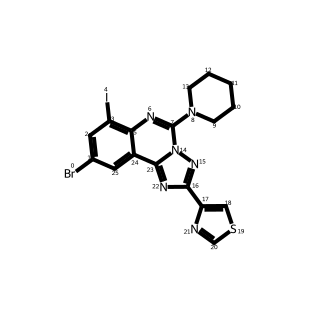 Brc1cc(I)c2nc(N3CCCCC3)n3nc(-c4cscn4)nc3c2c1